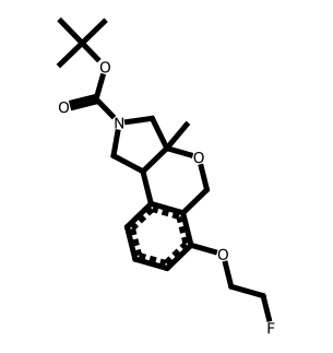 CC(C)(C)OC(=O)N1CC2c3cccc(OCCF)c3COC2(C)C1